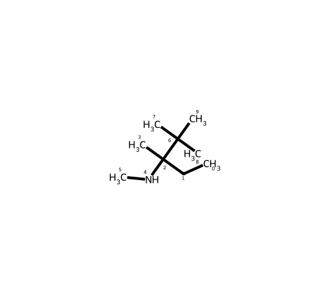 CCC(C)(NC)C(C)(C)C